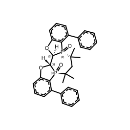 CC1(C)CC(C)(C)[P@@]2(=O)c3c(cccc3-c3ccccc3)O[C@@H]2[C@H]2Oc3cccc(-c4ccccc4)c3[P@@]21=O